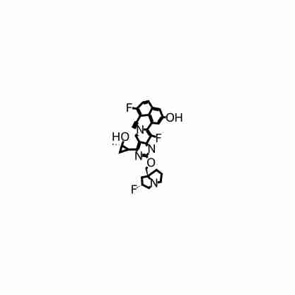 C#Cc1c(F)ccc2cc(O)cc(-c3ncc4c(C5C[C@@]5(C)O)nc(OC[C@@]56CCCN5C[C@H](F)C6)nc4c3F)c12